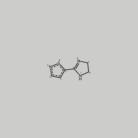 c1cc(C2=NCCN2)sn1